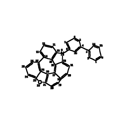 c1ccc(-c2cccc(-n3c4cccc5c4c4c6c(ccc7oc8cccc-5c8c76)ccc43)c2)cc1